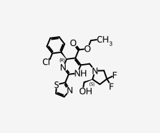 CCOC(=O)C1=C(CN2CC(F)(F)C[C@H]2CO)NC(c2nccs2)=N[C@H]1c1ccccc1Cl